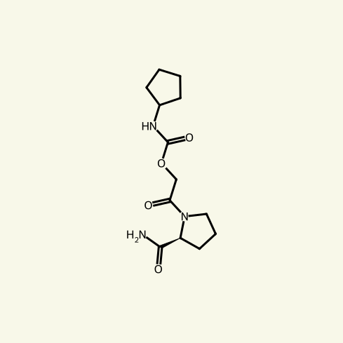 NC(=O)[C@@H]1CCCN1C(=O)COC(=O)NC1CCCC1